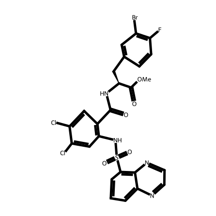 COC(=O)[C@H](Cc1ccc(F)c(Br)c1)NC(=O)c1cc(Cl)c(Cl)cc1NS(=O)(=O)c1cccc2nccnc12